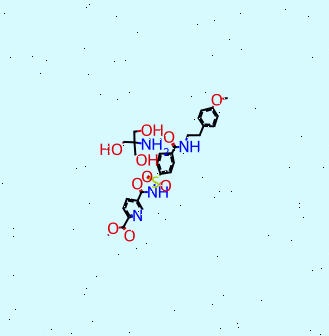 COC(=O)c1ccc(C(=O)NS(=O)(=O)c2ccc(C(=O)NCCc3ccc(OC)cc3)cc2)cn1.NC(CO)(CO)CO